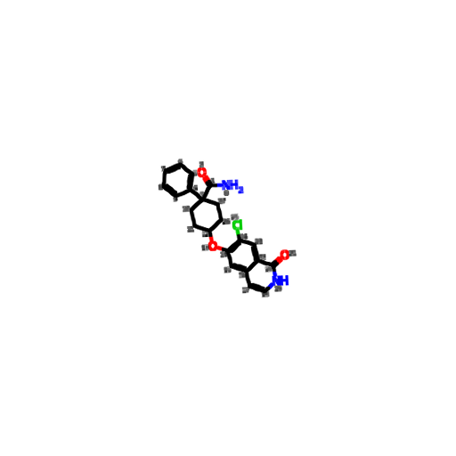 NC(=O)C1(c2ccccc2)CCC(Oc2cc3cc[nH]c(=O)c3cc2Cl)CC1